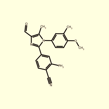 COc1ccc(-n2c(-c3ccc(C#N)c(P)c3)nc(C=O)c2C)cc1C